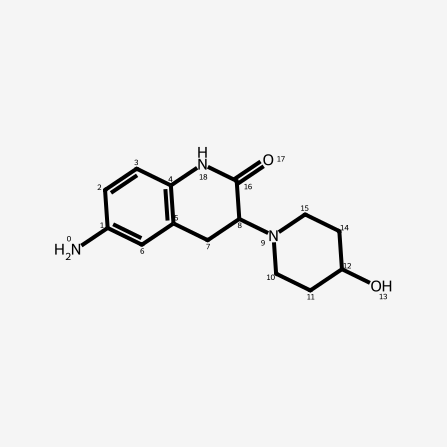 Nc1ccc2c(c1)CC(N1CCC(O)CC1)C(=O)N2